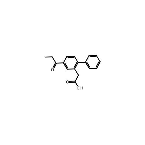 CCC(=O)c1ccc(-c2ccccc2)c(CC(=O)O)c1